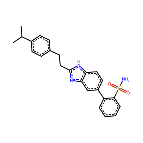 CC(C)c1ccc(CCc2nc3cc(-c4ccccc4S(N)(=O)=O)ccc3[nH]2)cc1